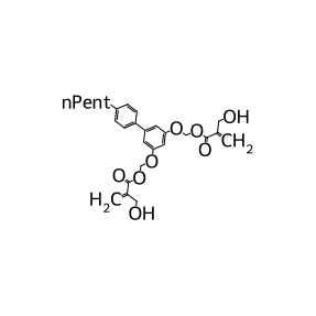 C=C(CO)C(=O)OCOc1cc(OCOC(=O)C(=C)CO)cc(-c2ccc(CCCCC)cc2)c1